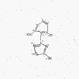 Sc1nc(-c2c(Cl)cccc2Cl)ns1